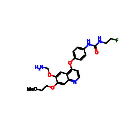 COCCOc1cc2nccc(Oc3ccc(NC(=O)NCCF)cc3)c2cc1OCN